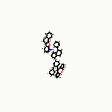 c1ccc(-c2ccccc2N(c2ccc(-c3ccc4c(c3)-c3ccccc3C43c4ccccc4Oc4ccccc43)cc2)c2cccc3c2oc2c4ccccc4ccc32)cc1